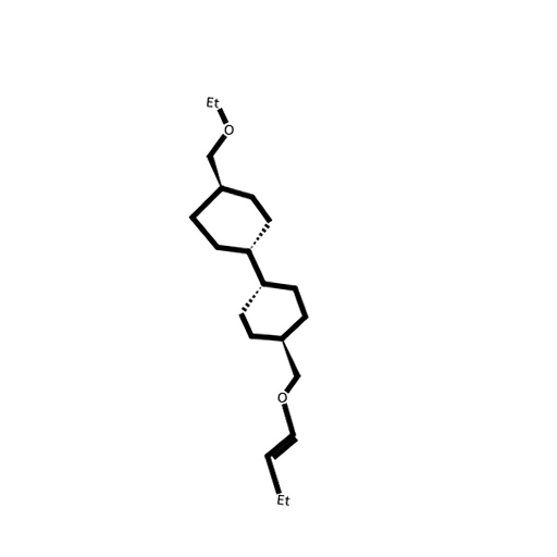 CCC=COC[C@H]1CC[C@H]([C@H]2CC[C@H](COCC)CC2)CC1